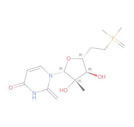 C=C1NC(=O)C=CN1[C@@H]1O[C@H](CCP(=C)(C)C)[C@@H](O)[C@]1(C)O